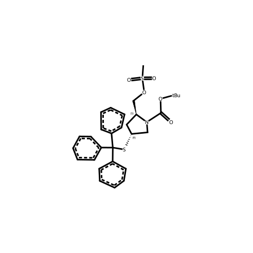 CC(C)(C)OC(=O)N1C[C@H](SC(c2ccccc2)(c2ccccc2)c2ccccc2)C[C@H]1COS(C)(=O)=O